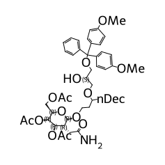 CCCCCCCCCCC(CCO[C@@H]1O[C@H](COC(C)=O)[C@H](OC(C)=O)[C@H](OC(C)=O)[C@H]1CC(N)=O)OC[C@H](O)COC(c1ccccc1)(c1ccc(OC)cc1)c1ccc(OC)cc1